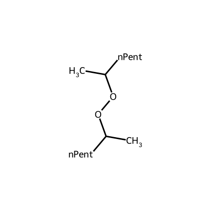 CCCCCC(C)OOC(C)CCCCC